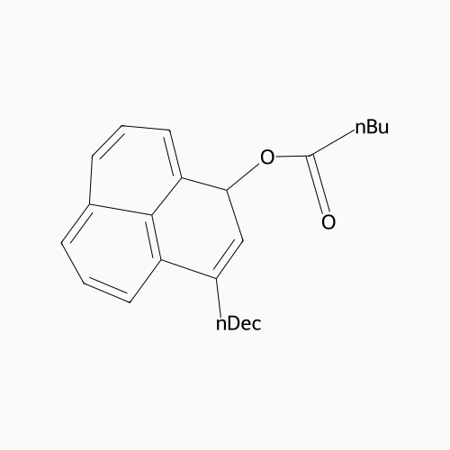 CCCCCCCCCCC1=CC(OC(=O)CCCC)c2cccc3cccc1c23